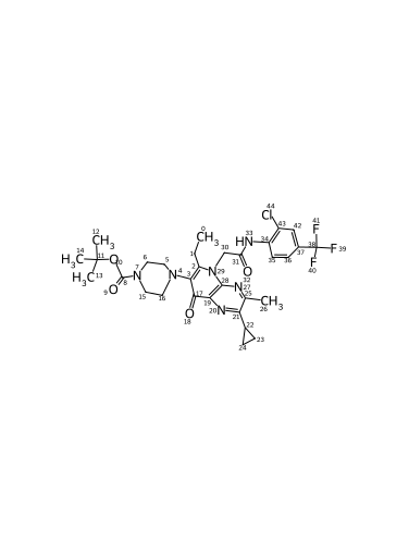 CCc1c(N2CCN(C(=O)OC(C)(C)C)CC2)c(=O)c2nc(C3CC3)c(C)nc2n1CC(=O)Nc1ccc(C(F)(F)F)cc1Cl